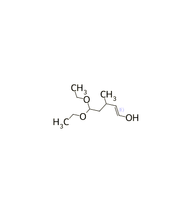 CCOC(CC(C)/C=C/O)OCC